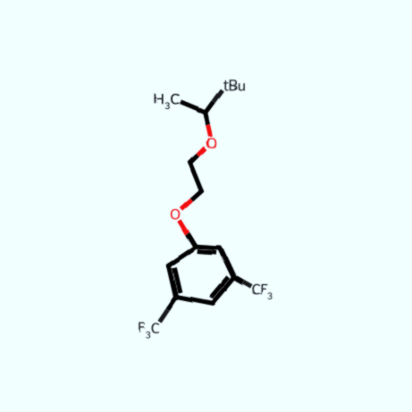 CC(OCCOc1cc(C(F)(F)F)cc(C(F)(F)F)c1)C(C)(C)C